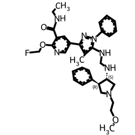 CCNC(=O)c1cc(-c2nn(-c3ccccc3)c(NCN[C@@H]3CN(CCOC)C[C@H]3c3ccccc3)c2C)cnc1OCF